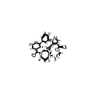 CCOC(=O)c1cnn(-c2cccc(C3CCCC(C(=O)N4CCCCCC4)C3)c2)c1C1CC1